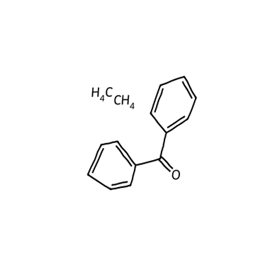 C.C.O=C(c1ccccc1)c1ccccc1